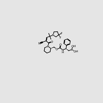 CC(C)(/C=C(/C#N)C(=O)N1CCCC[C@@H]1COC(=O)N[C@H](CB(O)O)c1ccccc1)N1CCC(F)(F)C1